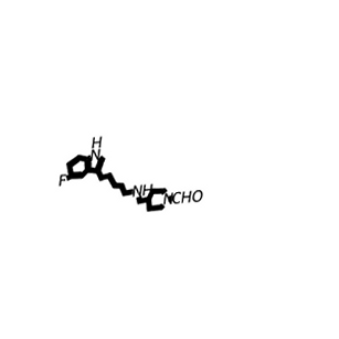 O=CN1CCC(CNCCCCCc2c[nH]c3ccc(F)cc23)CC1